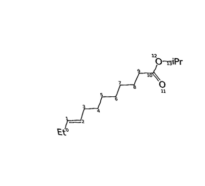 CC/C=C/CCCCCCCC(=O)OC(C)C